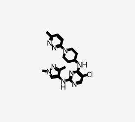 Cc1ccc(N2CCC(Nc3nc(Nc4cn(C)nc4C)ncc3Cl)CC2)nn1